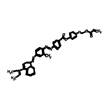 C=CC(=O)OCOc1ccc(OC(=O)c2ccc(N=Nc3ccc(N=Nc4ccc(N(CC)CC)c5ccccc45)cc3C)cc2)cc1